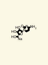 Nc1ccn([C@@H]2O[C@H]([CH](O)[Na])[C@@H](O)[C@H]2O)c(=O)n1